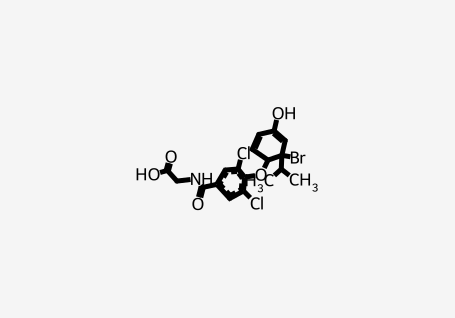 CC(C)C1(Br)C=C(O)C=CC1Oc1c(Cl)cc(C(=O)NCC(=O)O)cc1Cl